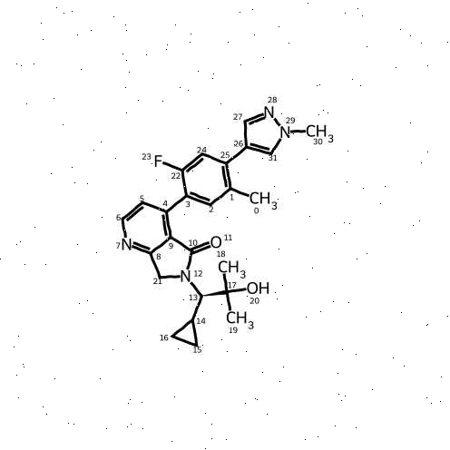 Cc1cc(-c2ccnc3c2C(=O)N([C@H](C2CC2)C(C)(C)O)C3)c(F)cc1-c1cnn(C)c1